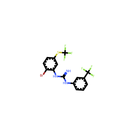 N=C(Nc1cccc(C(F)(F)F)c1)Nc1cc(SC(F)(F)F)ccc1Br